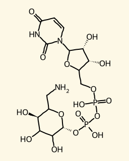 NCC1O[C@H](OP(=O)(O)OP(=O)(O)OCC2OC(n3ccc(=O)[nH]c3=O)[C@H](O)[C@@H]2O)C(O)C(O)[C@H]1O